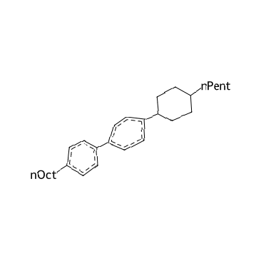 CCCCCCCCc1ccc(-c2ccc(C3CCC(CCCCC)CC3)cc2)cc1